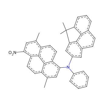 Cc1cc(N(c2ccccc2)c2cc3c4c(ccc5cccc(c54)C3(C)C)c2)c2ccc3c(C)cc([N+](=O)[O-])c4ccc1c2c34